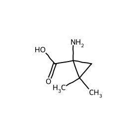 CC1(C)CC1(N)C(=O)O